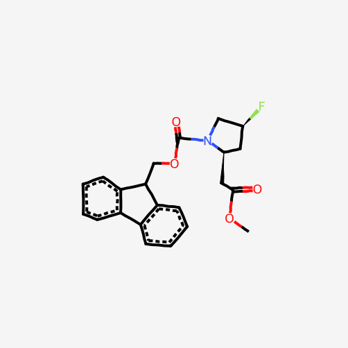 COC(=O)C[C@@H]1C[C@H](F)CN1C(=O)OCC1c2ccccc2-c2ccccc21